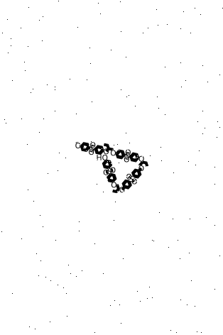 CCC(COc1ccc(S(=O)(=O)c2ccc(OC(CC)COc3ccc(S(=O)(=O)c4ccc(OC(CC)COc5ccc(S(=O)(=O)c6ccc(O)cc6)cc5)cc4)cc3)cc2)cc1)Oc1ccc(S(=O)(=O)c2ccc(OC)cc2)cc1